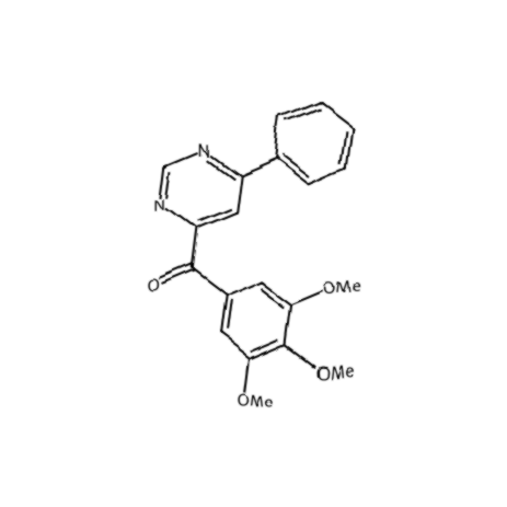 COc1cc(C(=O)c2cc(-c3ccccc3)ncn2)cc(OC)c1OC